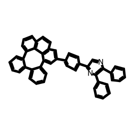 c1ccc(-c2ncc(-c3ccc(-c4cc5ccc6cccc7c8ccccc8c8ccccc8c(c4)c5c67)cc3)nc2-c2ccccc2)cc1